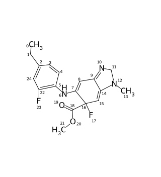 CCc1ccc(NC2=CC3=NCN(C)C3=CC2(F)C(=O)OC)c(F)c1